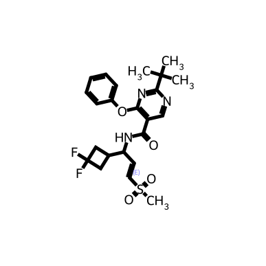 CC(C)(C)c1ncc(C(=O)NC(/C=C/S(C)(=O)=O)C2CC(F)(F)C2)c(Oc2ccccc2)n1